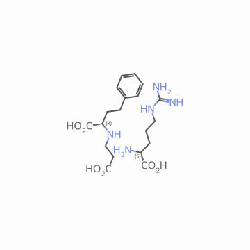 N=C(N)NCCC[C@H](N)C(=O)O.O=C(O)CCN[C@H](CCc1ccccc1)C(=O)O